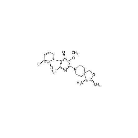 COc1c(N2CCC3(CC2)CO[C@@H](C)[C@H]3N)nc(C)n(C2=CC=C[C@H](Cl)[C@@H]2Cl)c1=O